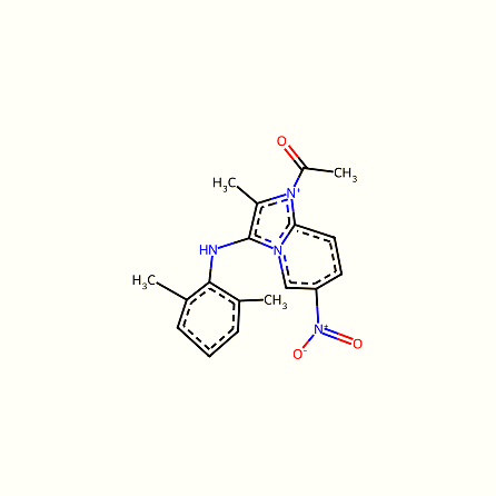 CC(=O)[n+]1c(C)c(Nc2c(C)cccc2C)n2cc([N+](=O)[O-])ccc21